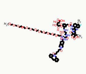 CC[C@@]1(O)C(=O)OCc2c1cc1n(c2=O)Cc2c-1nc1cc(F)c(C)c3c1c2[C@@H](NC(=O)OCc1ccc(O[C@@H]2O[C@H](C(=O)O)[C@@H](O)[C@H](O)[C@H]2O)c(CNC(O)CCNC(=O)[C@H](CNC(=O)CCOCCOCCOCCOCCOCCOCCOCCOCCOCCOCCOCCOC)NC(=O)C2CCC4(CC2)CCN(C(=O)CCCCC(=O)N2Cc5ccccc5/C=C\c5ccccc52)CC4)c1)CC3